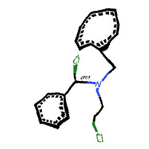 ClCCN(Cc1ccccc1)[C@H](Cl)c1ccccc1